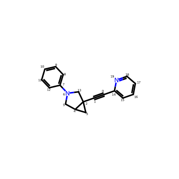 C(#CC12CC1CN(c1ccccc1)C2)c1ccccn1